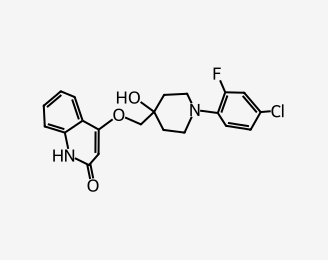 O=c1cc(OCC2(O)CCN(c3ccc(Cl)cc3F)CC2)c2ccccc2[nH]1